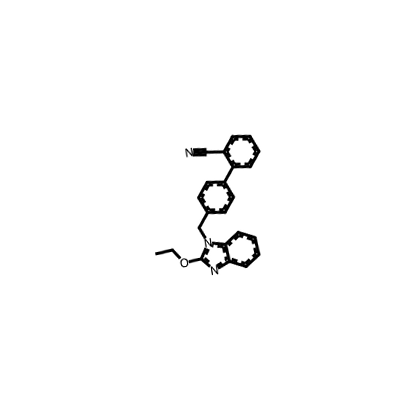 CCOc1nc2ccccc2n1Cc1ccc(-c2ccccc2C#N)cc1